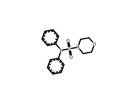 O=S(=O)(N1CCOCC1)N(c1ccccc1)c1ccccc1